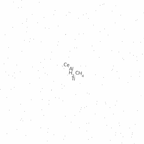 C.[AlH3].[Ce].[Ti]